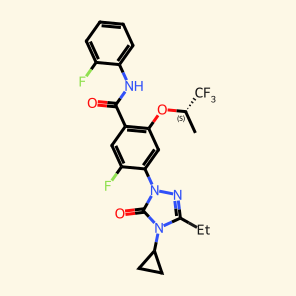 CCc1nn(-c2cc(O[C@@H](C)C(F)(F)F)c(C(=O)Nc3ccccc3F)cc2F)c(=O)n1C1CC1